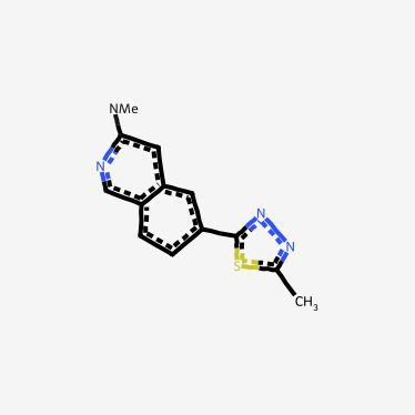 CNc1cc2cc(-c3nnc(C)s3)ccc2cn1